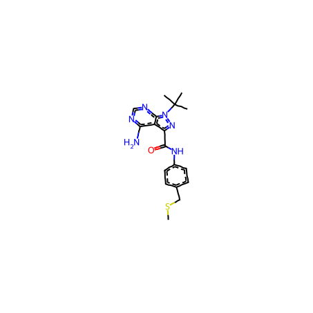 CSCc1ccc(NC(=O)c2nn(C(C)(C)C)c3ncnc(N)c23)cc1